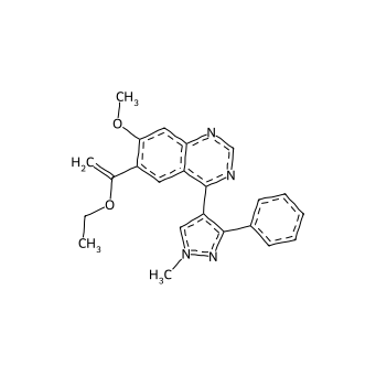 C=C(OCC)c1cc2c(-c3cn(C)nc3-c3ccccc3)ncnc2cc1OC